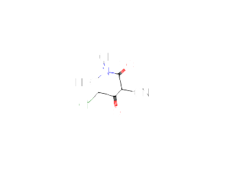 CN(C)C(=O)C(C#N)C(=O)CCl